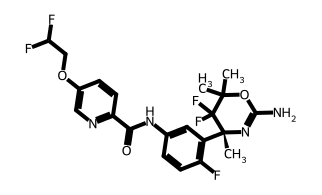 CC1(C)OC(N)=N[C@](C)(c2cc(NC(=O)c3ccc(OCC(F)F)cn3)ccc2F)C1(F)F